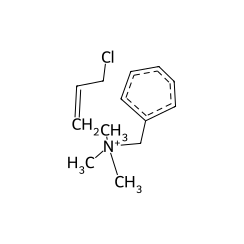 C=CCCl.C[N+](C)(C)Cc1ccccc1